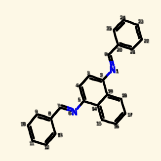 C(=Nc1ccc(N=Cc2ccccc2)c2ccccc12)c1ccccc1